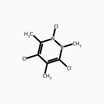 CB1C(Cl)=C(C)C(Cl)=C(C)N1Cl